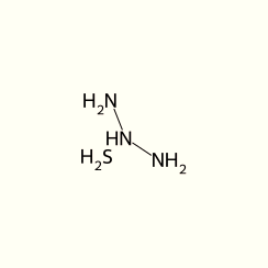 NNN.S